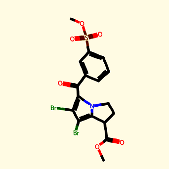 COC(=O)C1CCn2c(C(=O)c3cccc(S(=O)(=O)OC)c3)c(Br)c(Br)c21